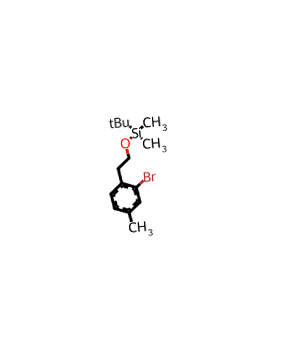 Cc1ccc(CCO[Si](C)(C)C(C)(C)C)c(Br)c1